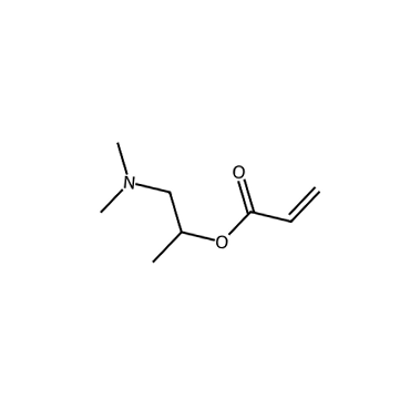 C=CC(=O)OC(C)CN(C)C